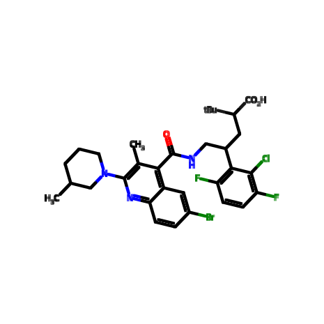 Cc1c(N2CCCC(C)C2)nc2ccc(Br)cc2c1C(=O)NCC(CC(C(=O)O)C(C)(C)C)c1c(F)ccc(F)c1Cl